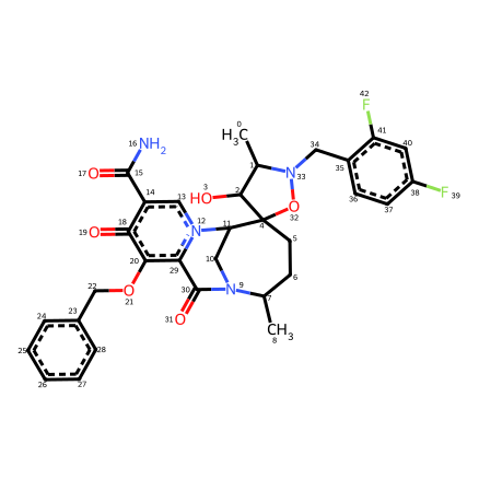 CC1C(O)C2(CCC(C)N3CC2n2cc(C(N)=O)c(=O)c(OCc4ccccc4)c2C3=O)ON1Cc1ccc(F)cc1F